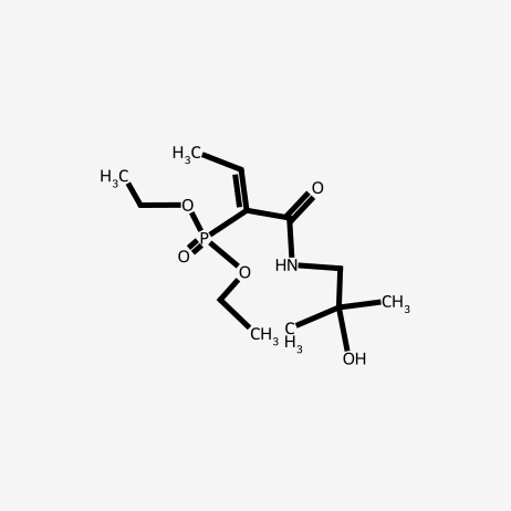 C/C=C(/C(=O)NCC(C)(C)O)P(=O)(OCC)OCC